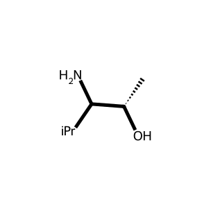 CC(C)C(N)[C@H](C)O